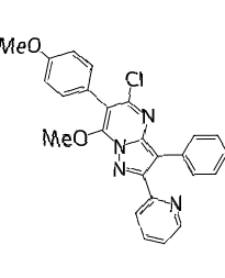 COc1ccc(-c2c(Cl)nc3c(-c4ccccc4)c(-c4ccccn4)nn3c2OC)cc1